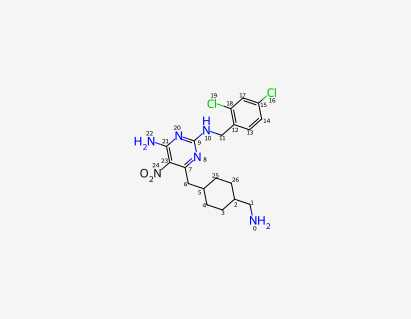 NCC1CCC(Cc2nc(NCc3ccc(Cl)cc3Cl)nc(N)c2[N+](=O)[O-])CC1